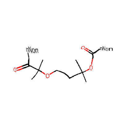 CCCCCCCCCC(=O)OC(C)(C)CCOC(C)(C)C(=O)CCCCCCCCC